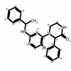 CC(Nc1ncc(Br)c(N2CCNC(=O)C2c2ccccc2)n1)c1ccccc1